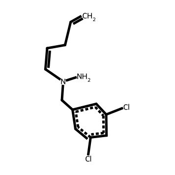 C=CC/C=C\N(N)Cc1cc(Cl)cc(Cl)c1